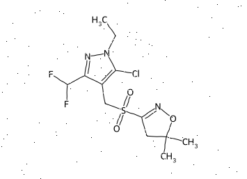 CCn1nc(C(F)F)c(CS(=O)(=O)C2=NOC(C)(C)C2)c1Cl